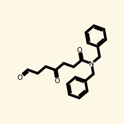 O=CCCC(=O)CCC(=O)N(Cc1ccccc1)Cc1ccccc1